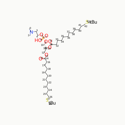 CN(C)CCOP(=O)(O)OC[C@@H](COC(=O)CCCCCCCCCCCSC(C)(C)C)OC(=O)CCCCCCCCCCCSC(C)(C)C